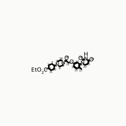 CCOC(=O)C1CCC(N2CCN(C(=O)COc3ccc(C)c(N4CCC(=O)NC4=O)c3)CC2)CC1